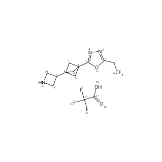 FC(F)(F)Cc1nnc(C23CC(C4CNC4)(C2)C3)o1.O=C(O)C(F)(F)F